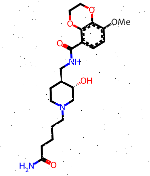 COc1ccc(C(=O)NC[C@@H]2CCN(CCCCC(N)=O)C[C@H]2O)c2c1OCCO2